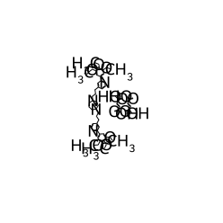 COc1cc(-c2cc(CCCN3CCCN(CCCc4ccnc(-c5cc(OC)c(OC)c(OC)c5)c4)CC3)ccn2)cc(OC)c1OC.O=C(O)C=CC(=O)O.O=C(O)C=CC(=O)O